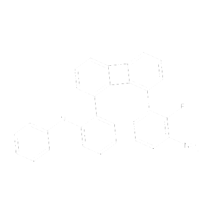 O=[N+]([O-])c1cccc(-c2cccc3c2-c2c(-c4ccccc4Nc4ccccc4)cccc2-3)c1F